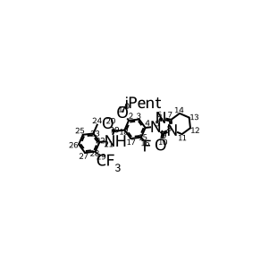 CCC[C@H](C)Oc1cc(-n2nc3n(c2=O)CCCC3)c(F)cc1C(=O)Nc1c(C)cccc1C(F)(F)F